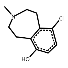 CN1CCc2c(O)ccc(Cl)c2CC1